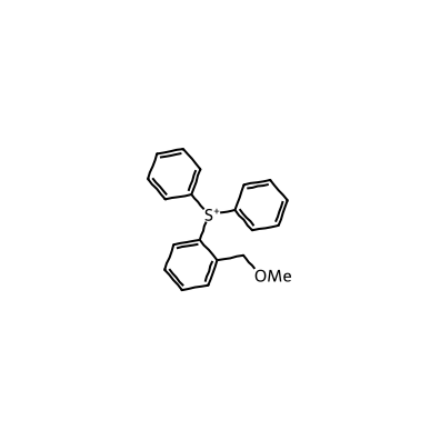 COCc1ccccc1[S+](c1ccccc1)c1ccccc1